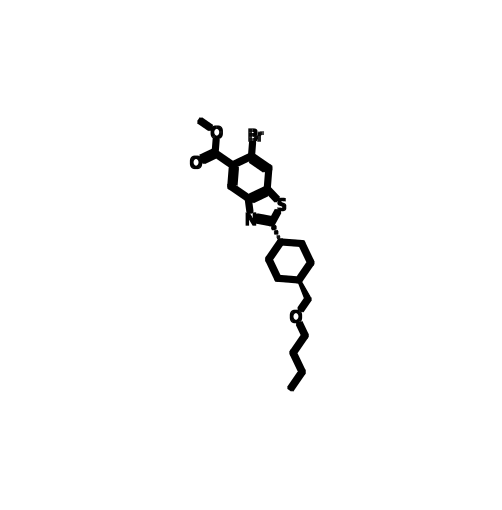 CCCCOC[C@H]1CC[C@H](c2nc3cc(C(=O)OC)c(Br)cc3s2)CC1